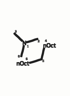 CN(C)C.[CH2]CCCCCCCCCCCCCCCC